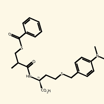 CC(CSC(=O)c1ccccc1)C(=O)N[C@@H](CCSCc1ccc(N(C)C)cc1)C(=O)O